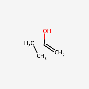 C=CO.CC